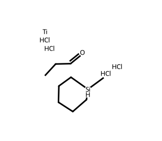 CCC=O.C[SiH]1CCCCC1.Cl.Cl.Cl.Cl.[Ti]